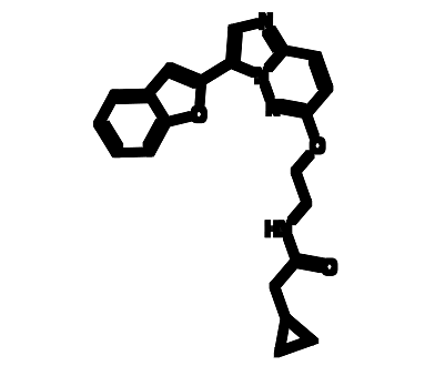 O=C(CC1CC1)NCCOc1ccc2ncc(-c3cc4ccccc4o3)n2n1